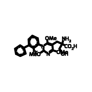 COC1=NC(OC)N(c2cccc(-c3ccccc3)c2Br)C(OC)=C1CC(N)(CO)C(=O)O